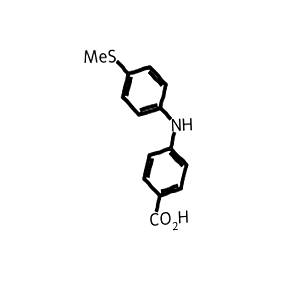 CSc1ccc(Nc2ccc(C(=O)O)cc2)cc1